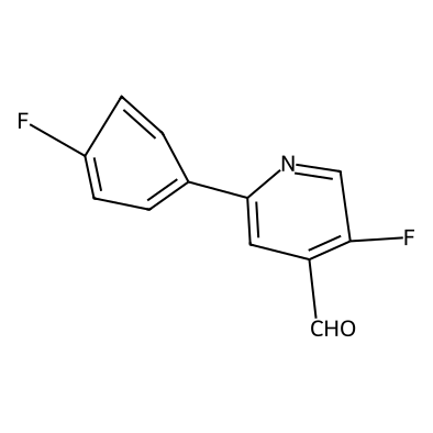 O=Cc1cc(-c2ccc(F)cc2)ncc1F